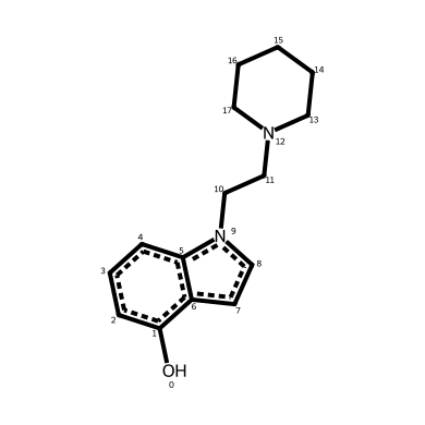 Oc1cccc2c1ccn2CCN1CCCCC1